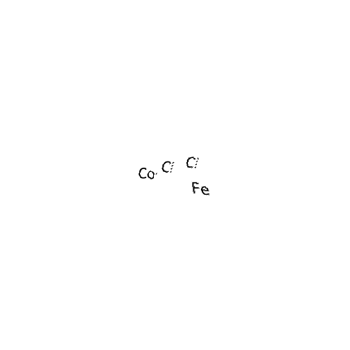 [C].[C].[Co].[Fe]